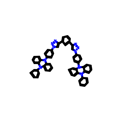 c1ccc(N2c3ccccc3N(c3ccc(-n4cc(-c5cccc(-c6cn(-c7ccc(N8c9ccccc9N(c9ccccc9)c9ccccc98)cc7)nn6)c5)nn4)cc3)c3ccccc32)cc1